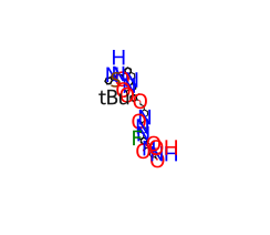 Cc1c(OCCC2CCN(CC(=O)N3CCN(c4cc5c(cc4F)C(=O)N(C4CCC(=O)NC4O)C5=O)CC3)CC2)cccc1-c1ccc(N2CCc3cccc(C(=O)Nc4nc5ccccc5s4)c3C2)nc1C(=O)OC(C)(C)C